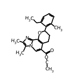 CCOC(=O)c1cn2c(C)c(C)nc2c2c1CCC(c1c(C)cccc1CC)O2